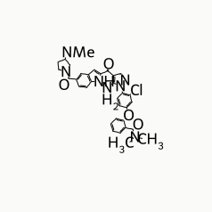 CNC1CCN(C(=O)c2ccc3[nH]c(C(=O)c4cnn(-c5ccc(Oc6ccccc6C(=O)N(C)C)cc5Cl)c4N)cc3c2)C1